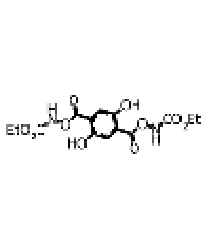 CCOC(=O)NOC(=O)c1cc(O)c(C(=O)ONC(=O)OCC)cc1O